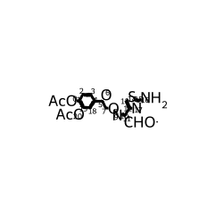 CC(=O)Oc1ccc(C(=O)CON=C([C]=O)c2csc(N)n2)cc1OC(C)=O